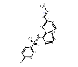 Cc1ccc(S(=O)(=O)Nc2cccc3ccc(/C=N/N)nc23)cc1